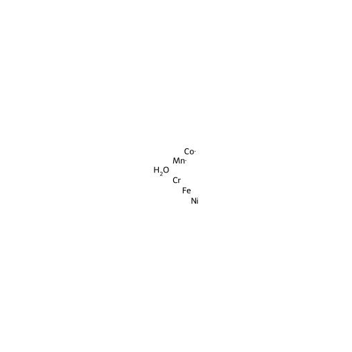 O.[Co].[Cr].[Fe].[Mn].[Ni]